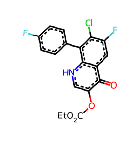 CCOC(=O)Oc1c[nH]c2c(-c3ccc(F)cc3)c(Cl)c(F)cc2c1=O